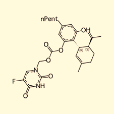 C=C(C)[C@H]1CCC(C)=C[C@@H]1c1c(O)cc(CCCCC)cc1OC(=O)OCn1cc(F)c(=O)[nH]c1=O